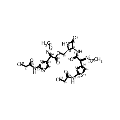 CON=C(C(=O)N[C@@H]1C(=O)N[C@@H]1COC(=O)C(=NOC)c1csc(NC(=O)CCl)n1)c1csc(NC(=O)CCl)n1